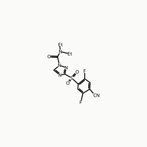 CCN(CC)C(=O)n1cnc(S(=O)(=O)c2cc(F)c(C#N)cc2F)n1